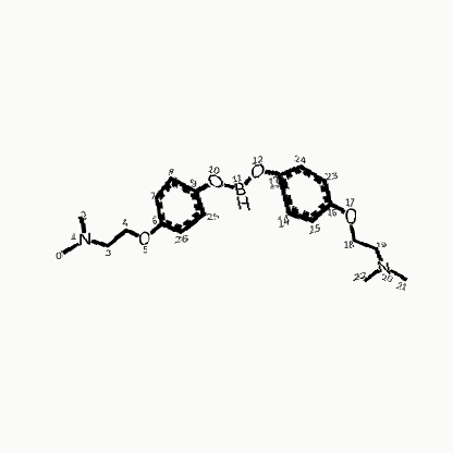 CN(C)CCOc1ccc(OBOc2ccc(OCCN(C)C)cc2)cc1